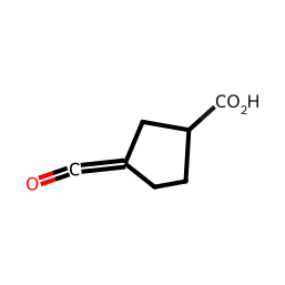 O=C=C1CCC(C(=O)O)C1